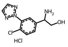 Cl.NC(CO)c1ccc(Cl)c(-n2nccn2)c1